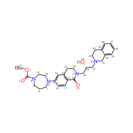 CC(C)(C)OC(=O)N1CCCN(c2ccc3c(c2)CCN(C[C@H](O)CN2CCc4ccccc4C2)C3=O)CC1